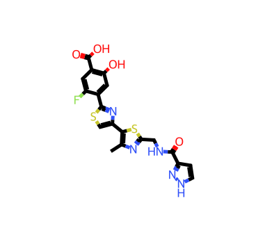 Cc1nc(CNC(=O)c2cc[nH]n2)sc1-c1csc(-c2cc(O)c(C(=O)O)cc2F)n1